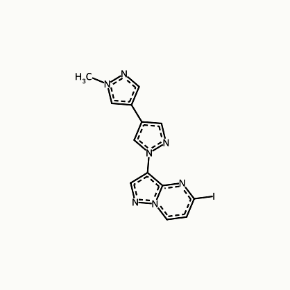 Cn1cc(-c2cnn(-c3cnn4ccc(I)nc34)c2)cn1